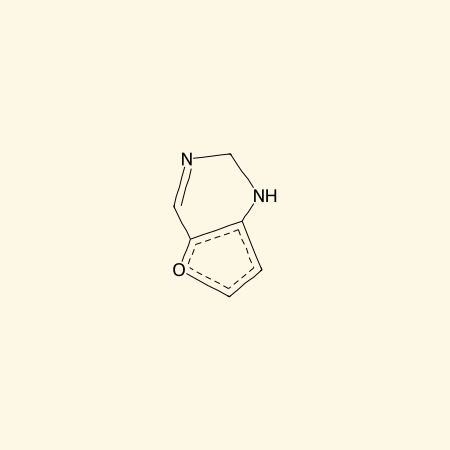 C1=NCNc2ccoc21